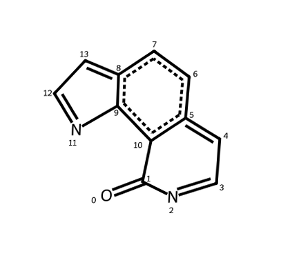 O=C1N=CC=c2ccc3c(c21)N=CC=3